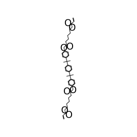 C=CC(=O)OCCCCCC(=O)Oc1ccc(C(C)(C)c2ccc(C(C)(C)c3ccc(OC(=O)CCCCCOC(=O)C=C)cc3)cc2)cc1